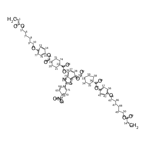 C=CC(=O)OCCCCCCOc1ccc(OC(=O)[C@H]2CC[C@H](C(=O)Oc3ccc(OC(=O)[C@H]4CC[C@H](C(=O)Oc5ccc(OCCCCCCOC(=O)C=C)cc5)CC4)c4sc(-c5ccc([N+](=O)[O-])cc5)nc34)CC2)cc1